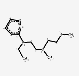 CCP(CCN(C)CCSC)c1ccccc1